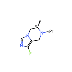 CC(C)N1Cc2c(F)ncn2C[C@H]1C